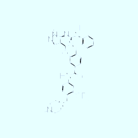 Cc1ccc(C(=O)Nc2ccc(CN3CCN(C)CC3)c(C(F)(F)F)c2)cc1Oc1nc(Nc2ccccc2)nc2c1cnn2C